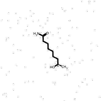 C[C@@H](O)CCCCCCC(N)=O